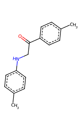 Cc1ccc(NCC(=O)c2ccc(C)cc2)cc1